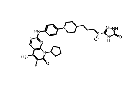 Cc1c(F)c(=O)n(C2CCCC2)c2nc(Nc3ccc(N4CCC(CCC[S+]([O-])c5n[nH]c(=O)[nH]5)CC4)cc3)ncc12